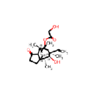 C=C[C@]1(C)CC(OC(=O)CO)[C@]2(C)C(C)CC[C@]3(CCC(=O)C23)[C@@H](C)[C@@H]1O